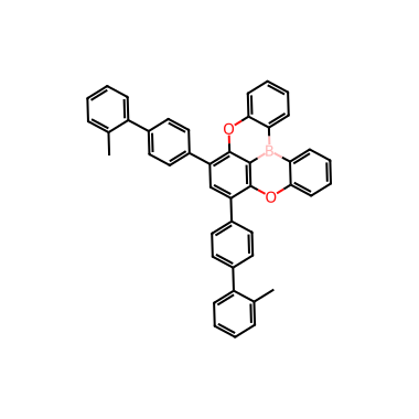 Cc1ccccc1-c1ccc(-c2cc(-c3ccc(-c4ccccc4C)cc3)c3c4c2Oc2ccccc2B4c2ccccc2O3)cc1